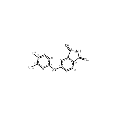 O=C1NC(=O)c2cc(Oc3ccc(F)c(Cl)c3)ccc21